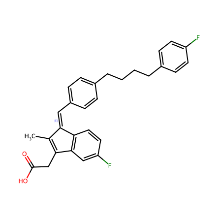 CC1=C(CC(=O)O)c2cc(F)ccc2/C1=C\c1ccc(CCCCc2ccc(F)cc2)cc1